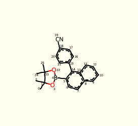 CC1(C)OB(c2ccc3ccccc3c2-c2ccc(C#N)cc2)OC1(C)C